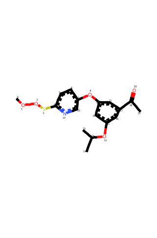 COOSc1ccc(Oc2cc(OC(C)C)cc(C(C)=O)c2)cn1